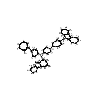 c1ccc(-c2ccc(N(c3ccc(-c4ccc(-n5c6ccccc6c6ccccc65)cc4)cc3)c3cccc4c3sc3ccccc34)cc2)cc1